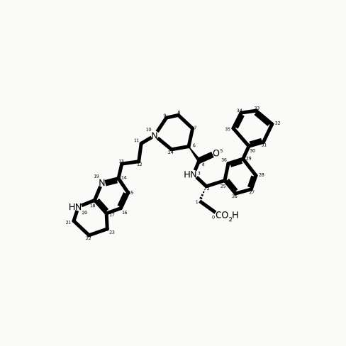 O=C(O)C[C@H](NC(=O)[C@@H]1CCCN(CCCc2ccc3c(n2)NCCC3)C1)c1cccc(-c2ccccc2)c1